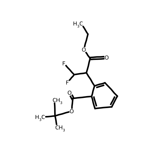 CCOC(=O)C(c1ccccc1C(=O)OC(C)(C)C)C(F)F